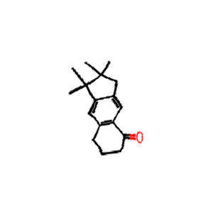 CC1(C)Cc2cc3c(cc2C1(C)C)CCCC3=O